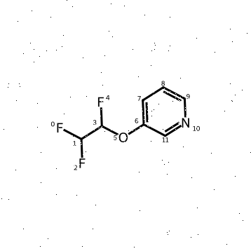 FC(F)C(F)Oc1cccnc1